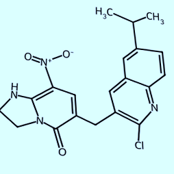 CC(C)c1ccc2nc(Cl)c(Cc3cc([N+](=O)[O-])c4n(c3=O)CCN4)cc2c1